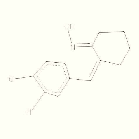 ON=C1CCCCC1=Cc1ccc(Cl)c(Cl)c1